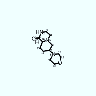 O=C1NCCN2CC(N3CCOCC3)CC[C@@H]12